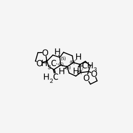 C=C1CC2(C[C@@H]3CC[C@@H]4[C@H](CC[C@@]5(C)[C@H]4CCC54OCCO4)[C@@]13C)OCCO2